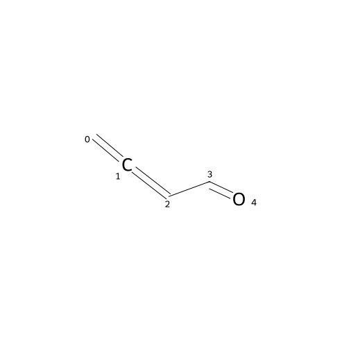 C=C=CC=O